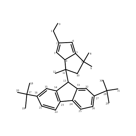 CCC1=CC2C(=C1)C(C)(C)CC2(C)C1c2cc(C(C)(C)C)ccc2-c2ccc(C(C)(C)C)cc21